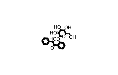 O=C(c1ccccc1OC1O[C@H](CO)[C@@H](O)[C@H](O)[C@H]1O)C(O)c1ccccc1